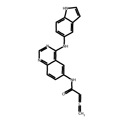 C=C=CC(=O)Nc1ccc2ncnc(Nc3ccc4[nH]ccc4c3)c2c1